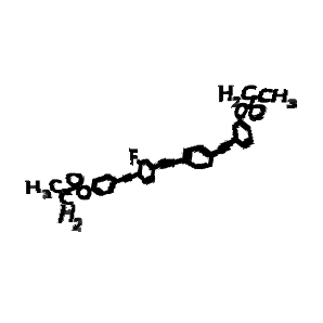 C=C(C)C(=O)Oc1ccc(C#Cc2ccc(C#Cc3ccc(C#Cc4cccc(OC(=O)C(=C)C)c4)cc3)cc2F)cc1